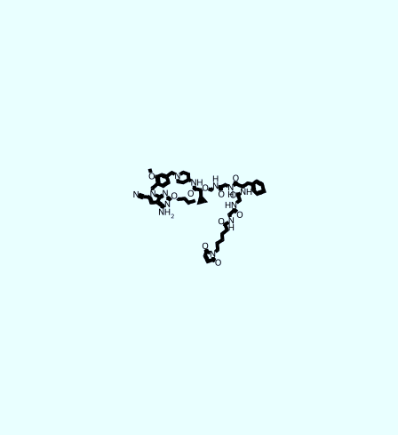 CCCCOc1nc(N)c2cc(C#N)n(Cc3ccc(CN4CCC(NC(=O)C(OCNC(=O)CNC(=O)C(Cc5ccccc5)NC(=O)CNC(=O)CNC(=O)CCCCCN5C(=O)C=CC5=O)C5CC5)CC4)cc3OC)c2n1